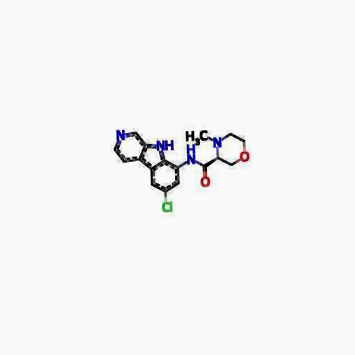 CN1CCOC[C@H]1C(=O)Nc1cc(Cl)cc2c1[nH]c1cnccc12